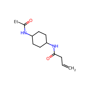 C=CCC(=O)NC1CCC(NC(=O)CC)CC1